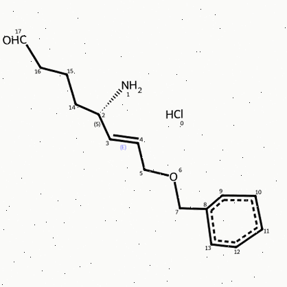 Cl.N[C@H](/C=C/COCc1ccccc1)CCCC=O